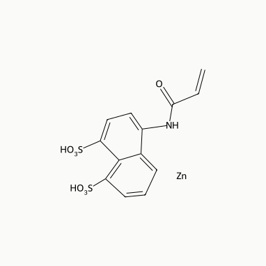 C=CC(=O)Nc1ccc(S(=O)(=O)O)c2c(S(=O)(=O)O)cccc12.[Zn]